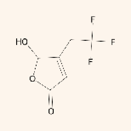 O=C1C=C(CC(F)(F)F)C(O)O1